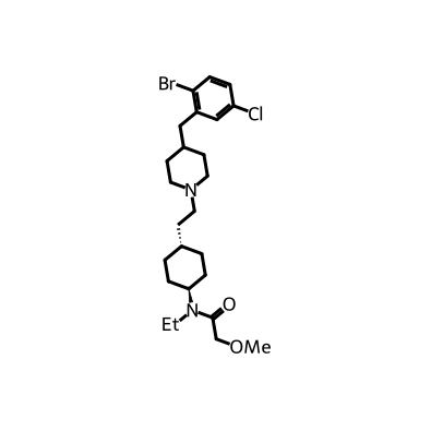 CCN(C(=O)COC)[C@H]1CC[C@H](CCN2CCC(Cc3cc(Cl)ccc3Br)CC2)CC1